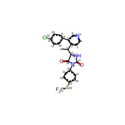 CC(c1ccncc1-c1ccc(Cl)cc1)C1NC(=O)N(c2ccc(SC(F)(F)F)cc2)C1=O